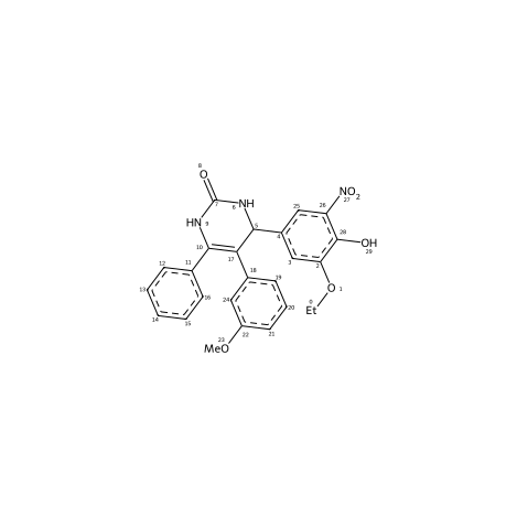 CCOc1cc(C2NC(=O)NC(c3ccccc3)=C2c2cccc(OC)c2)cc([N+](=O)[O-])c1O